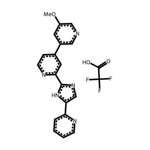 COc1cncc(-c2ccnc(-c3ncc(-c4ccccn4)[nH]3)c2)c1.O=C(O)C(F)(F)F